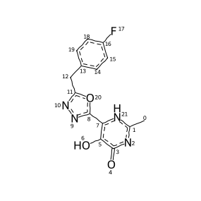 Cc1nc(=O)c(O)c(-c2nnc(Cc3ccc(F)cc3)o2)[nH]1